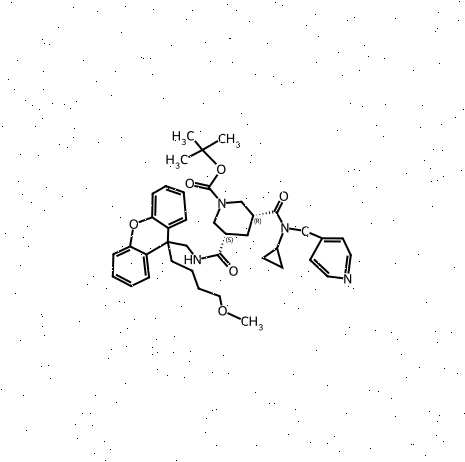 COCCCCC1(CNC(=O)[C@H]2C[C@@H](C(=O)N(Cc3ccncc3)C3CC3)CN(C(=O)OC(C)(C)C)C2)c2ccccc2Oc2ccccc21